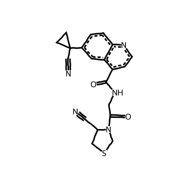 N#CC1CSCN1C(=O)CNC(=O)c1ccnc2ccc(C3(C#N)CC3)cc12